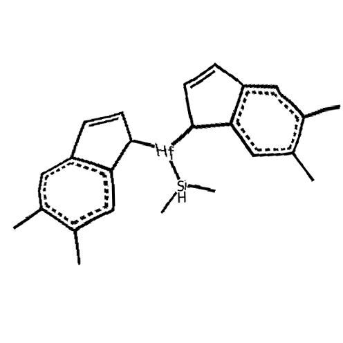 Cc1cc2c(cc1C)[CH]([Hf]([CH]1C=Cc3cc(C)c(C)cc31)[SiH](C)C)C=C2